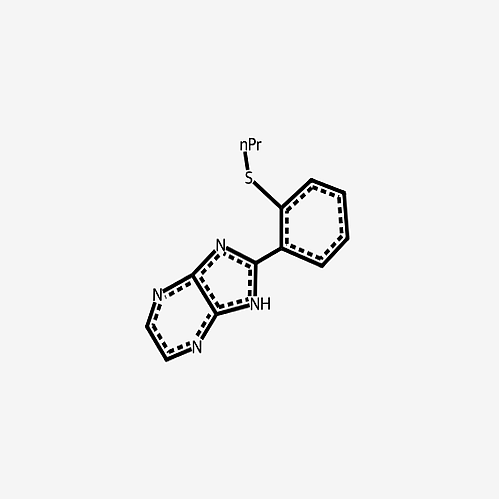 CCCSc1ccccc1-c1nc2nccnc2[nH]1